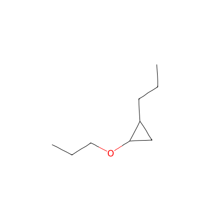 CCCOC1CC1CCC